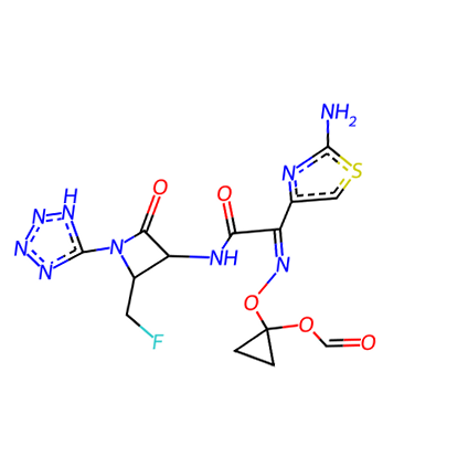 Nc1nc(C(=NOC2(OC=O)CC2)C(=O)NC2C(=O)N(c3nnn[nH]3)C2CF)cs1